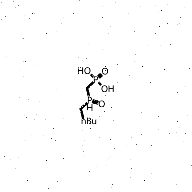 CCCCC[PH](=O)CP(=O)(O)O